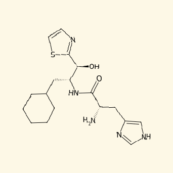 N[C@@H](Cc1c[nH]cn1)C(=O)N[C@H](CC1CCCCC1)[C@H](O)c1nccs1